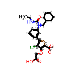 CCNC(=O)N(CC1CCCCC1)c1cccc(-c2sc(C(=O)O)c(OCC(=O)O)c2Cl)c1